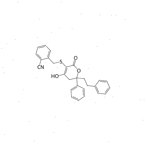 N#Cc1ccccc1CSC1=C(O)CC(CCc2ccccc2)(c2ccccc2)OC1=O